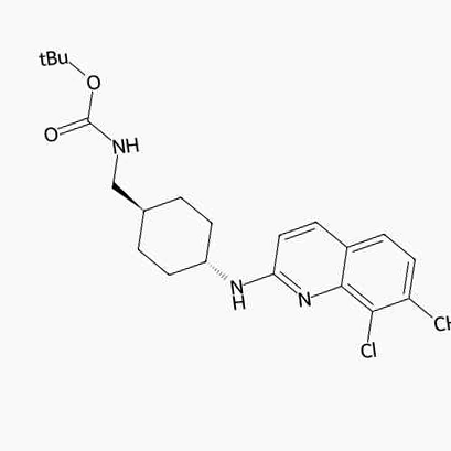 Cc1ccc2ccc(N[C@H]3CC[C@H](CNC(=O)OC(C)(C)C)CC3)nc2c1Cl